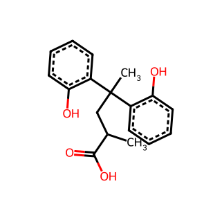 CC(CC(C)(c1ccccc1O)c1ccccc1O)C(=O)O